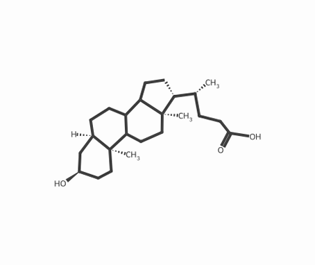 C[C@H](CCC(=O)O)[C@H]1CCC2C3CC[C@@H]4C[C@H](O)CC[C@]4(C)C3CC[C@@]21C